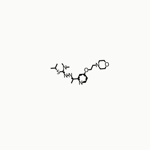 C/C(=N\N=C(\SC(C)C)N(C)C)c1cc(OCCN2CCOCC2)ccn1